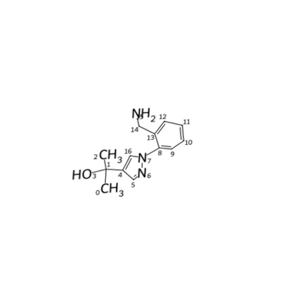 CC(C)(O)c1cnn(-c2ccccc2CN)c1